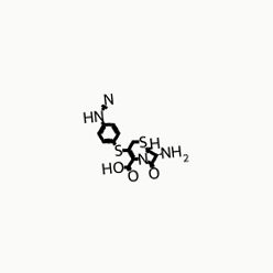 N#CNc1ccc(SC2=C(C(=O)O)N3C(=O)[C@@H](N)[C@H]3SC2)cc1